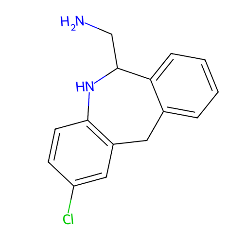 NCC1Nc2ccc(Cl)cc2Cc2ccccc21